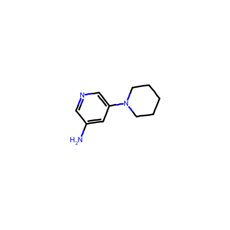 Nc1cncc(N2CCCCC2)c1